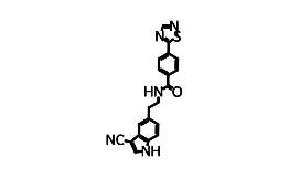 N#Cc1c[nH]c2ccc(CCNC(=O)c3ccc(-c4ncns4)cc3)cc12